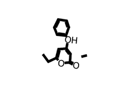 CC.CCc1cc(O)cc(=O)o1.c1ccccc1